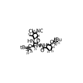 [C-]#[N+]c1ccc(N[C@@H](C(=O)NNC(=O)c2cccc(O[Si](C)(C)C(C)(C)C)c2)[C@@H](C)O[Si](C)(C)C(C)(C)C)c(C)c1Cl